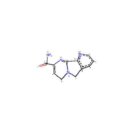 NC(=O)C1=CCN2Cc3cccnc3C2=N1